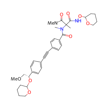 CNC(=O)C(C)(C(=O)NOC1CCCCO1)N(C)C(=O)c1ccc(C#Cc2ccc([C@@H](COC)OC3CCCCO3)cc2)cc1